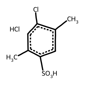 Cc1cc(S(=O)(=O)O)c(C)cc1Cl.Cl